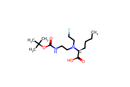 CCCC[C@@H](C(=O)O)N(CCF)CCNC(=O)OC(C)(C)C